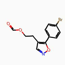 O=COCCc1cnoc1-c1ccc(Br)cc1